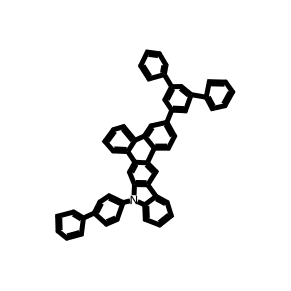 c1ccc(-c2ccc(-n3c4ccccc4c4cc5c6ccc(-c7cc(-c8ccccc8)cc(-c8ccccc8)c7)cc6c6ccccc6c5cc43)cc2)cc1